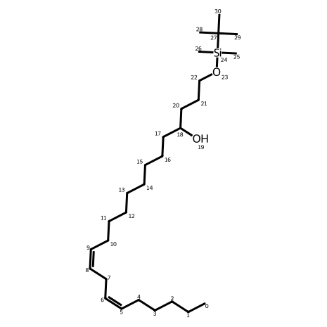 CCCCC/C=C\C/C=C\CCCCCCCCC(O)CCCO[Si](C)(C)C(C)(C)C